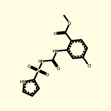 COC(=O)c1ccc(Cl)cc1NC(=O)NS(=O)(=O)c1ccc[nH]1